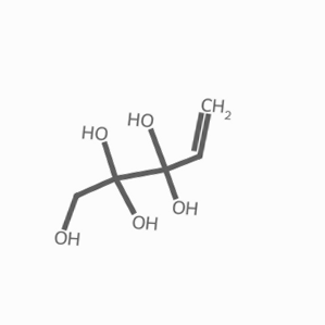 C=CC(O)(O)C(O)(O)CO